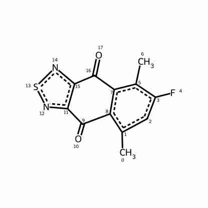 Cc1cc(F)c(C)c2c1C(=O)c1nsnc1C2=O